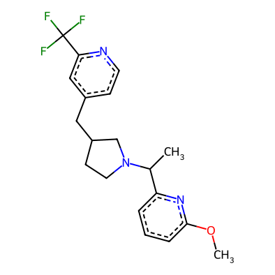 COc1cccc(C(C)N2CCC(Cc3ccnc(C(F)(F)F)c3)C2)n1